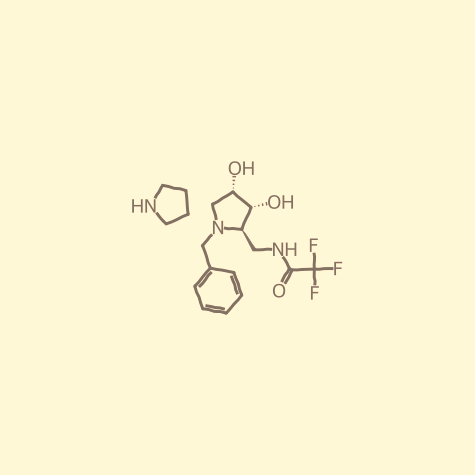 C1CCNC1.O=C(NC[C@@H]1[C@@H](O)[C@@H](O)CN1Cc1ccccc1)C(F)(F)F